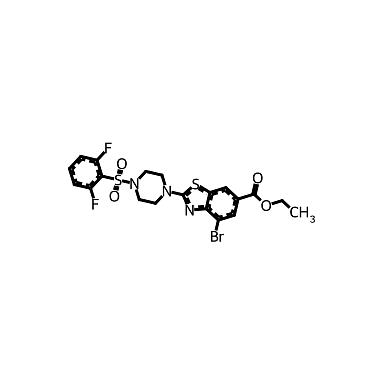 CCOC(=O)c1cc(Br)c2nc(N3CCN(S(=O)(=O)c4c(F)cccc4F)CC3)sc2c1